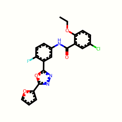 CCOc1ccc(Cl)cc1C(=O)Nc1ccc(F)c(-c2nnc(-c3ccco3)o2)c1